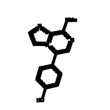 CNc1ncc(-c2ccc(O)cc2)n2ccnc12